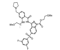 COCCOC(=O)n1nc(NC(=O)c2ccc(CN3CCCC3)cc2N[C@H](C)COC)c2cc(S(=O)(=O)c3cc(F)cc(F)c3)ccc21